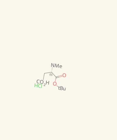 CN[C@@H](CC(=O)O)C(=O)OC(C)(C)C.Cl